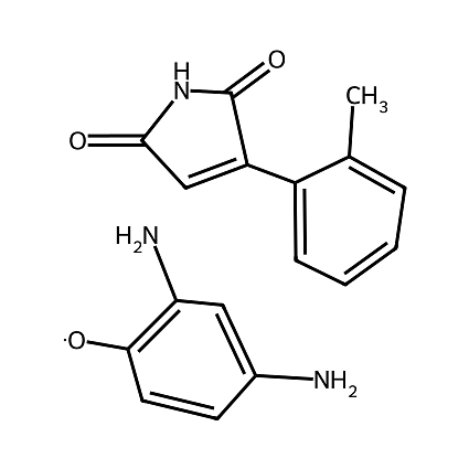 Cc1ccccc1C1=CC(=O)NC1=O.Nc1ccc([O])c(N)c1